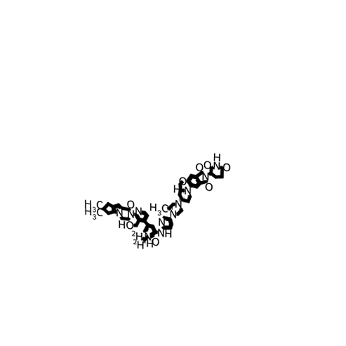 [2H]C([2H])([2H])n1cc(-c2ccnc(N3CCn4c(cc5c4CC(C)(C)C5)C3=O)c2CO)cc(Nc2ccc(N3CCN([C@@H]4CCN5c6cc7c(cc6OC[C@H]5C4)C(=O)N(C4CCC(=O)NC4=O)C7=O)C[C@@H]3C)cn2)c1=O